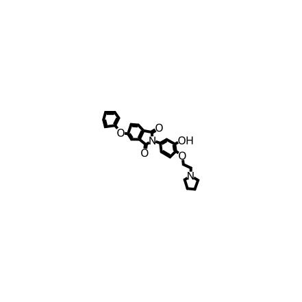 O=C1c2ccc(Oc3ccccc3)cc2C(=O)N1c1ccc(OCCN2CCCC2)c(O)c1